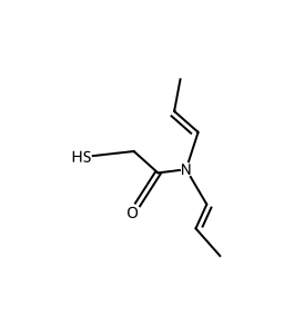 CC=CN(C=CC)C(=O)CS